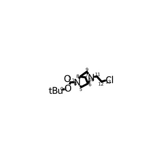 CC(C)(C)OC(=O)N1CC2CC1CN2CCCl